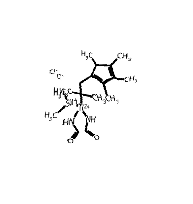 CC1=C(C)C(C)C(C[C](C)(C)[Ti+2]([NH]C=O)([NH]C=O)[SiH](C)C)=C1C.[Cl-].[Cl-]